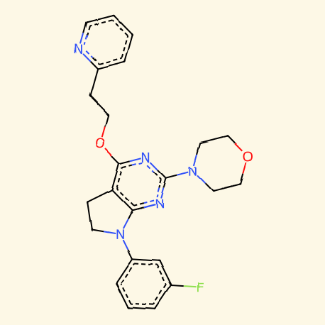 Fc1cccc(N2CCc3c(OCCc4ccccn4)nc(N4CCOCC4)nc32)c1